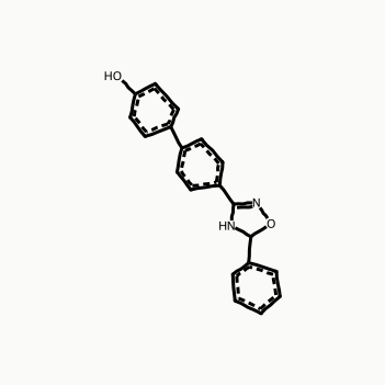 Oc1ccc(-c2ccc(C3=NOC(c4ccccc4)N3)cc2)cc1